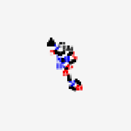 CC(C)(C)CC(N=C(NC(=O)OCCN1CCOCC1)N1CCOCC1)C(=O)N(C#N)C1CC1